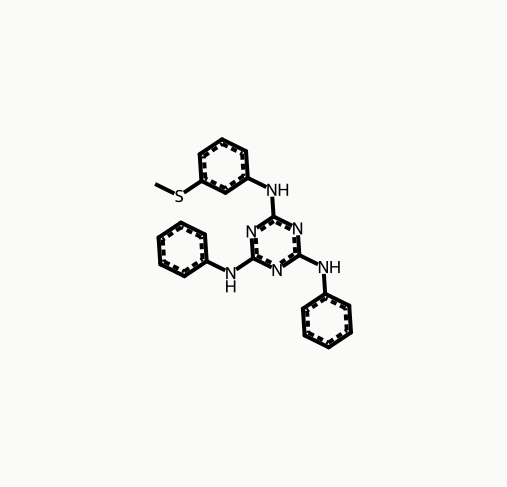 CSc1cccc(Nc2nc(Nc3ccccc3)nc(Nc3ccccc3)n2)c1